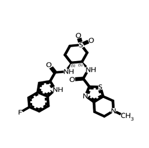 CN1CCc2nc(C(=O)N[C@@H]3CS(=O)(=O)CC[C@@H]3NC(=O)c3cc4cc(F)ccc4[nH]3)sc2C1